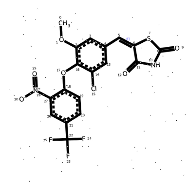 COc1cc(/C=C2/SC(=O)NC2=O)cc(Cl)c1Oc1ccc(C(F)(F)F)cc1[N+](=O)[O-]